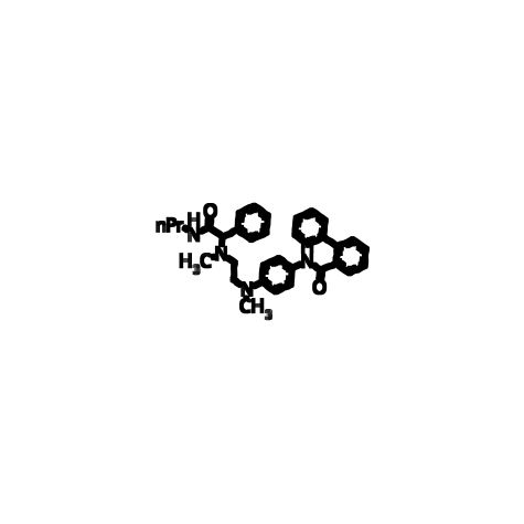 CCCNC(=O)C(c1ccccc1)N(C)CCN(C)c1ccc(NC(=O)c2ccccc2-c2ccccc2)cc1